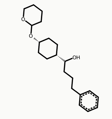 OC(CCCc1ccccc1)[C@H]1CC[C@@H](OC2CCCCO2)CC1